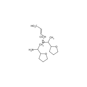 CC(N)C1CCCO1.CC(N)C1CCCO1.O=C(O)/C=C/C(=O)O